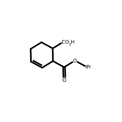 CC(C)OC(=O)C1C=CCCC1C(=O)O